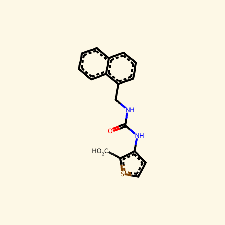 O=C(NCc1cccc2ccccc12)Nc1ccsc1C(=O)O